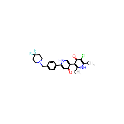 Cc1[nH]c(C)c(-c2c[nH]c(-c3ccc(CN4CCC(F)(F)CC4)cc3)cc2=O)c(=O)c1Cl